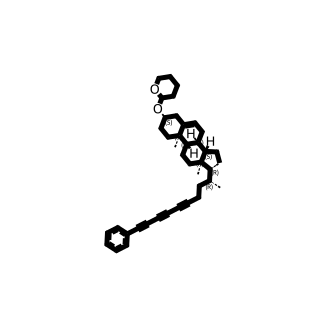 C[C@H](CCC#CC#CC#Cc1ccccc1)[C@H]1CC[C@H]2[C@@H]3CC=C4C[C@@H](OC5CCCCO5)CC[C@]4(C)[C@H]3CC[C@]12C